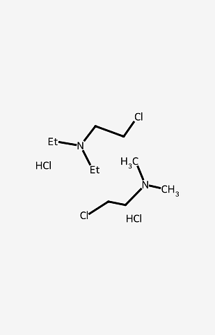 CCN(CC)CCCl.CN(C)CCCl.Cl.Cl